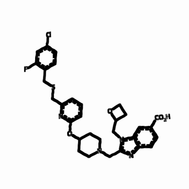 O=C(O)c1ccc2nc(CN3CCC(Oc4cccc(CSCc5ccc(Cl)cc5F)n4)CC3)n(CC3CCO3)c2c1